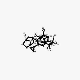 NC(=O)c1cc(C2CC2)c(CN2[C@@H]3CC[C@H]2C[C@@H](Oc2ncc(C(F)(F)F)cc2Cl)C3)cc1F